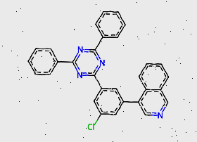 Clc1cc(-c2nc(-c3ccccc3)nc(-c3ccccc3)n2)cc(-c2cncc3ccccc23)c1